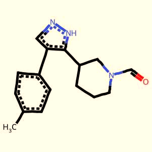 Cc1ccc(-c2cn[nH]c2C2CCCN(C=O)C2)cc1